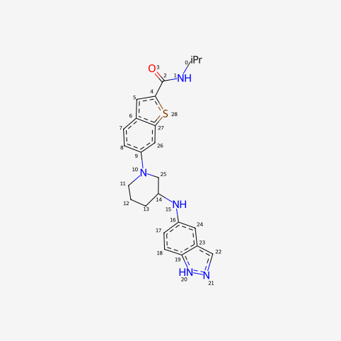 CC(C)NC(=O)c1cc2ccc(N3CCCC(Nc4ccc5[nH]ncc5c4)C3)cc2s1